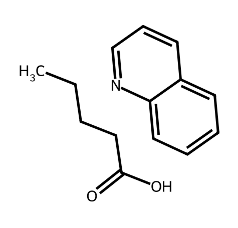 CCCCC(=O)O.c1ccc2ncccc2c1